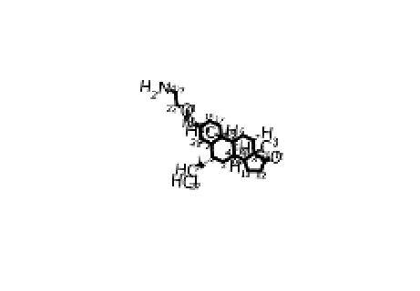 C#C[C@H]1C[C@@H]2[C@H](CC[C@]3(C)C(=O)CC[C@@H]23)[C@@]2(C)CCC(=NOCCN)CC12.Cl